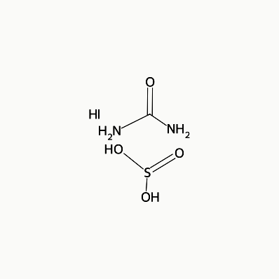 I.NC(N)=O.O=S(O)O